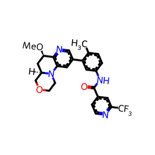 CO[C@@H]1C[C@@H]2COCCN2c2cc(-c3cc(NC(=O)c4ccnc(C(F)(F)F)c4)ccc3C)cnc21